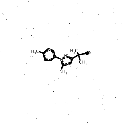 Cc1ccc(-n2nc(C(C)(C)C#N)cc2N)cc1